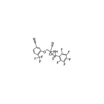 C[C@](C#N)(COc1cc(C#N)ccc1C(F)(F)F)NC(=S)c1c(F)c(F)c(F)c(F)c1F